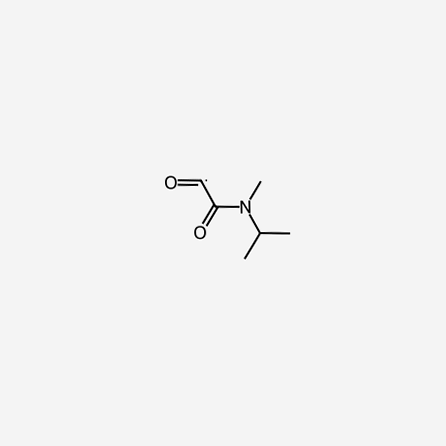 CC(C)N(C)C(=O)[C]=O